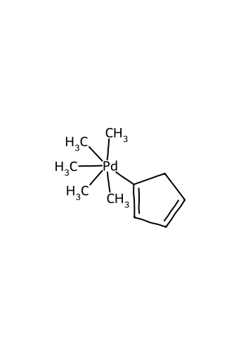 [CH3][Pd]([CH3])([CH3])([CH3])([CH3])[C]1=CC=CC1